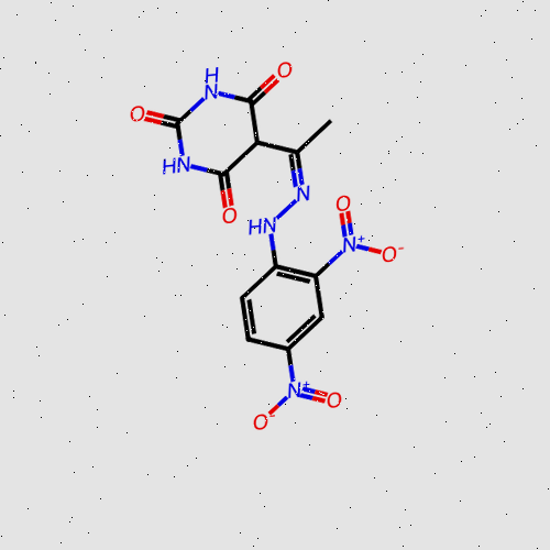 CC(=NNc1ccc([N+](=O)[O-])cc1[N+](=O)[O-])C1C(=O)NC(=O)NC1=O